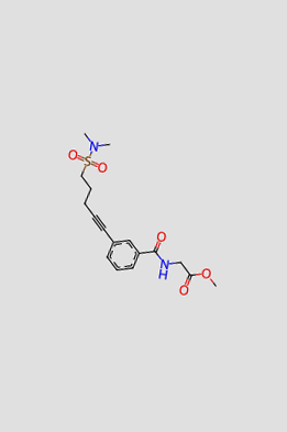 COC(=O)CNC(=O)c1cccc(C#CCCCS(=O)(=O)N(C)C)c1